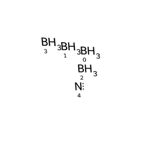 B.B.B.B.[N]